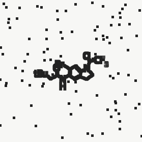 CC(C)(C)CC(=O)Nc1cc2c(cc1Br)N(C(=O)C(F)(F)F)CC2